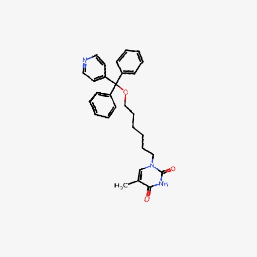 Cc1cn(CCCCCCOC(c2ccccc2)(c2ccccc2)c2ccncc2)c(=O)[nH]c1=O